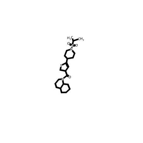 CC(C)S(=O)(=O)N1CCC(C2=CC(C(=O)N3CCCC4CCCCC43)CS2)CC1